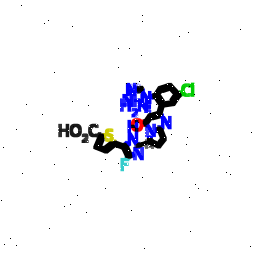 N/N=C\N(N)c1ccc(Cl)cc1-c1cc(=O)n2c(n1)CC[C@H]2c1nc(F)c(-c2ccc(C(=O)O)s2)[nH]1